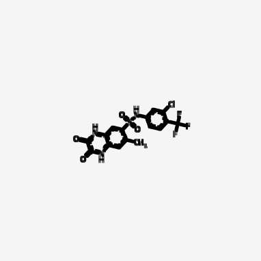 Cc1cc2[nH]c(=O)c(=O)[nH]c2cc1S(=O)(=O)Nc1ccc(C(F)(F)F)c(Cl)c1